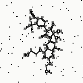 CCOc1nc(OCCO)c2cc(N3C(=S)N(c4ccc(C#N)c(C(F)(F)F)c4)C(=O)C3(C)C)cc(F)c2n1